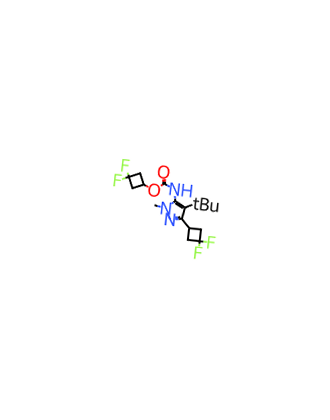 Cn1nc(C2CC(F)(F)C2)c(C(C)(C)C)c1NC(=O)OC1CC(F)(F)C1